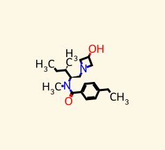 CCc1ccc(C(=O)N(C)[C@H](CN2CC(O)C2)[C@@H](C)CC)cc1